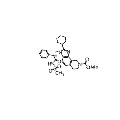 COC(=O)N1CCc2ccc3c(nc(C4CCCCC4)n3C[C@H](C(=O)NS(C)(=O)=O)c3ccccc3)c2C1